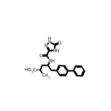 C[C@H](CC(Cc1ccc(-c2ccccc2)cc1)NC(=O)c1n[nH]c(=O)[nH]1)C(=O)O